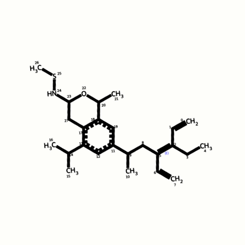 C=C/C(CC)=C(/C=C)CC(C)c1cc(C(C)C)c2c(c1)C(C)OC(NSC)C2